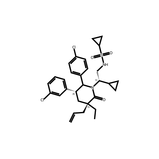 C=CC[C@@]1(CC)C[C@H](c2cccc(Cl)c2)C(c2ccc(Cl)cc2)N([C@H](CNS(=O)(=O)C2CC2)C2CC2)C1=O